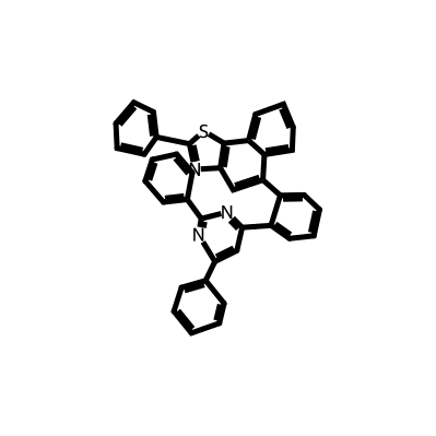 c1ccc(-c2cc(-c3ccccc3-c3cc4nc(-c5ccccc5)sc4c4ccccc34)nc(-c3ccccc3)n2)cc1